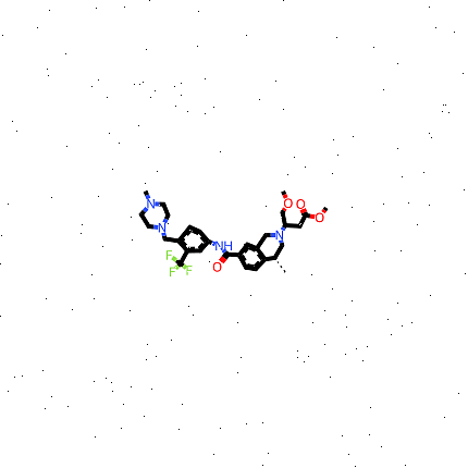 COCC(CC(=O)OC)N1Cc2cc(C(=O)Nc3ccc(CN4CCN(C)CC4)c(C(F)(F)F)c3)ccc2[C@@H](C)C1